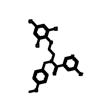 COc1ccc(CN(CCOc2c(Cl)cc(Cl)cc2Cl)C(=O)c2cncc(Br)c2)cc1